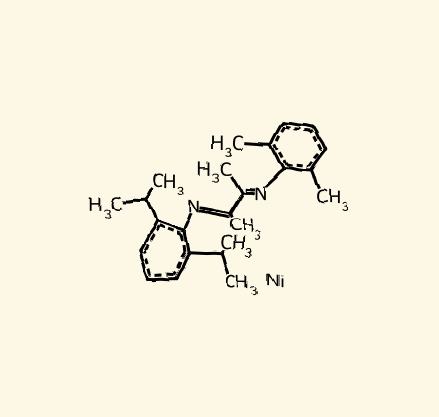 CC(=Nc1c(C)cccc1C)C(C)=Nc1c(C(C)C)cccc1C(C)C.[Ni]